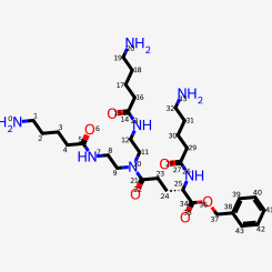 NCCCCC(=O)NCCN(CCNC(=O)CCCCN)C(=O)CC[C@H](NC(=O)CCCCN)C(=O)OCc1ccccc1